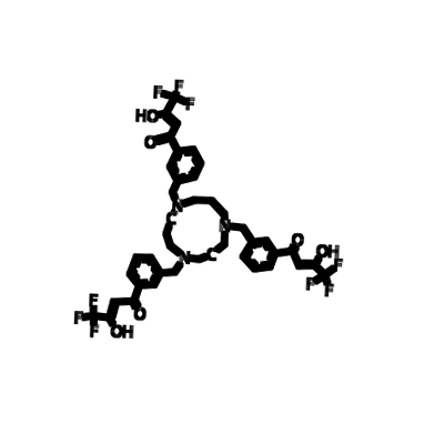 O=C(C=C(O)C(F)(F)F)c1cccc(CN2CCCN(Cc3cccc(C(=O)C=C(O)C(F)(F)F)c3)CCCN(Cc3cccc(C(=O)C=C(O)C(F)(F)F)c3)CCC2)c1